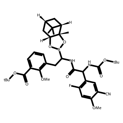 COc1cc(F)c(C(NC(=O)OC(C)(C)C)C(=O)NC(Cc2cccc(C(=O)OC(C)(C)C)c2OC)B2O[C@@H]3C[C@@H]4C[C@@H](C4(C)C)[C@]3(C)O2)cc1C#N